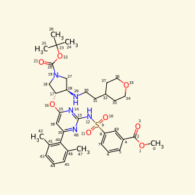 COC(=O)c1cccc(S(=O)(=O)Nc2nc(O[C@@H]3CN(C(=O)OC(C)(C)C)C[C@H]3NCCC3CCOCC3)cc(-c3c(C)cccc3C)n2)c1